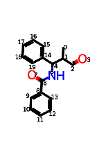 CC(C=O)C(NC(=O)c1ccccc1)c1ccccc1